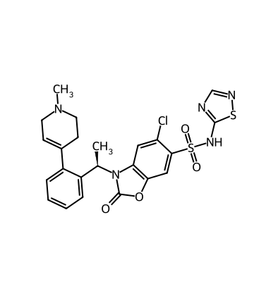 C[C@H](c1ccccc1C1=CCN(C)CC1)n1c(=O)oc2cc(S(=O)(=O)Nc3ncns3)c(Cl)cc21